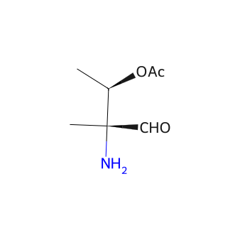 CC(=O)O[C@H](C)[C@@](C)(N)C=O